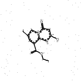 C=C(OCC)c1cc(C)cn2c(=O)cc(Cl)nc12